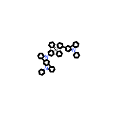 c1ccc(-n2c3ccccc3c3cc(-c4cccc([Si](c5ccccc5)(c5ccccc5)c5ccc(-n6c7ccccc7c7cc8c(cc76)c6ccccc6n8-c6ccccc6)cc5)c4)ccc32)cc1